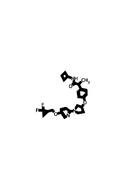 CC(C(=O)NC1CCC1)c1ccc(OC2CCN(c3ccc(OCC4CC4(F)F)cn3)C2)cc1